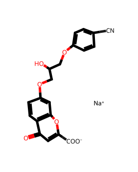 N#Cc1ccc(OCC(O)COc2ccc3c(=O)cc(C(=O)[O-])oc3c2)cc1.[Na+]